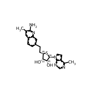 Cc1cc2ccc(CC[C@H]3S[C@@H](n4ccc5c(C)ncnc54)[C@H](O)[C@@H]3O)cc2nc1N